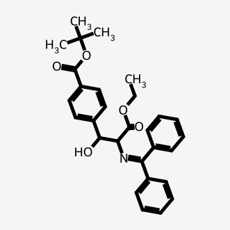 CCOC(=O)C(N=C(c1ccccc1)c1ccccc1)C(O)c1ccc(C(=O)OC(C)(C)C)cc1